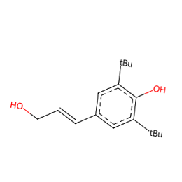 CC(C)(C)c1cc(C=CCO)cc(C(C)(C)C)c1O